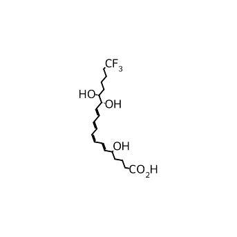 O=C(O)CCC[C@H](O)/C=C/C=C\C=C\C=C\[C@@H](O)[C@@H](O)CCCCC(F)(F)F